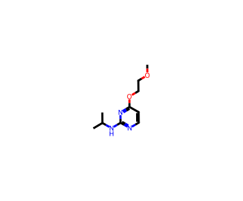 COCCOc1ccnc(NC(C)C)n1